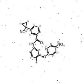 Cc1ccc(NC(=O)c2cccc(C3(C#N)CC3)c2)cc1Oc1ccc([N+](=O)[O-])cn1